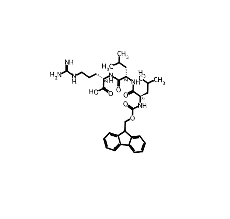 CC(C)C[C@H](NC(=O)[C@@H](CC(C)C)NC(=O)OCC1c2ccccc2-c2ccccc21)C(=O)N[C@@H](CCCNC(=N)N)C(=O)O